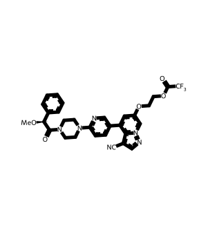 CO[C@H](C(=O)N1CCN(c2ccc(-c3cc(OCCOC(=O)C(F)(F)F)cn4ncc(C#N)c34)cn2)CC1)c1ccccc1